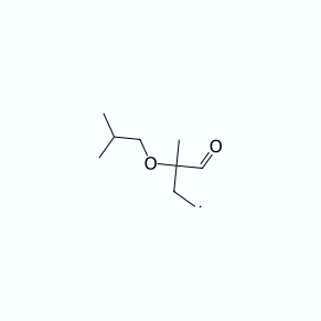 [CH2]CC(C)(C=O)OCC(C)C